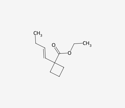 CCC=CC1(C(=O)OCC)CCC1